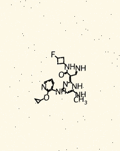 CNC1=CC(Nc2cccnc2OC2CC2)=N/C(=C(/C=N)C(=O)NC2CC(F)C2)N1